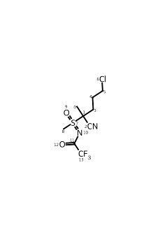 CC(C#N)(CCCCl)S(C)(=O)=NC(=O)C(F)(F)F